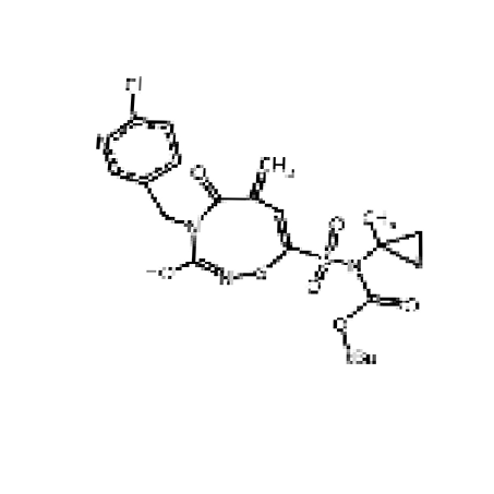 C=C1/C=C(/S(=O)(=O)N(C(=O)OC(C)(C)C)C2(C)CC2)S/N=C(/O)N(Cc2ccc(Cl)nc2)C1=O